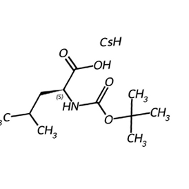 CC(C)C[C@H](NC(=O)OC(C)(C)C)C(=O)O.[CsH]